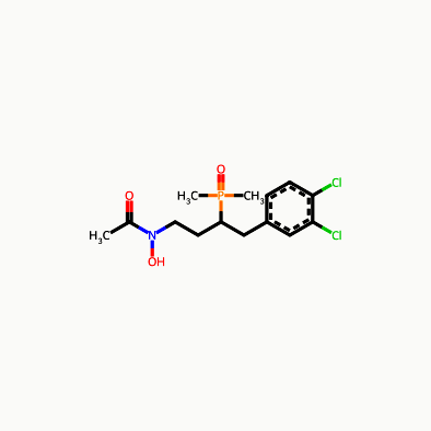 CC(=O)N(O)CCC(Cc1ccc(Cl)c(Cl)c1)P(C)(C)=O